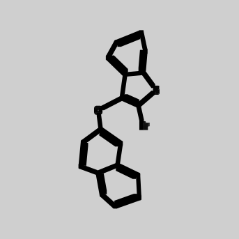 Brc1sc2ccccc2c1Oc1ccc2ccccc2c1